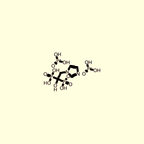 O=P(O)(O)C(O)(Cn1ccnc1)P(=O)(O)O.O=[P+](O)O.O=[P+](O)O